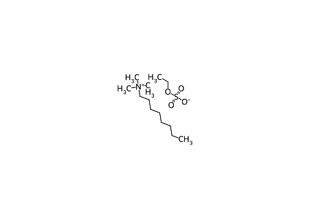 CCCCCCCC[N+](C)(C)C.CCOS(=O)(=O)[O-]